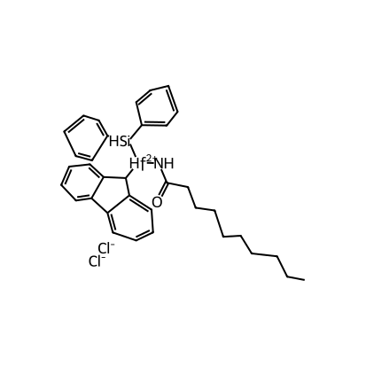 CCCCCCCCCC(=O)[NH][Hf+2]([CH]1c2ccccc2-c2ccccc21)[SiH](c1ccccc1)c1ccccc1.[Cl-].[Cl-]